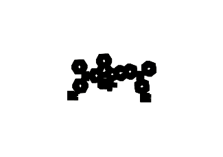 CCc1ccc(N(c2ccccc2)c2ccc3cc4c(cc3c2)C2([Si](C)(C)C)c3c-4c4ccccc4c4cc(N(c5ccccc5)c5ccc(CC)cc5)cc(c34)[Si]2(C)C)cc1